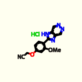 COc1cc(OCC#N)ccc1-c1nc2cnncc2[nH]1.Cl